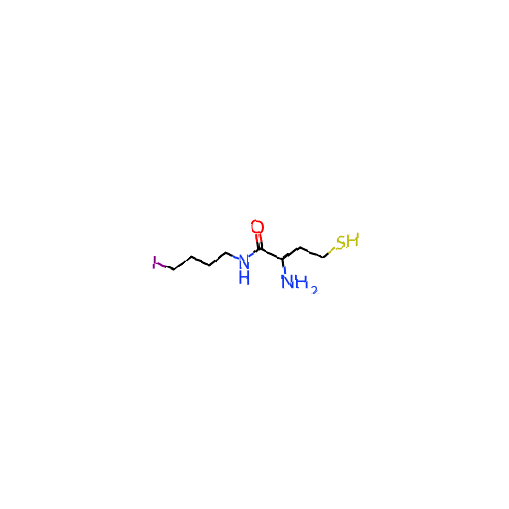 NC(CCS)C(=O)NCCCCI